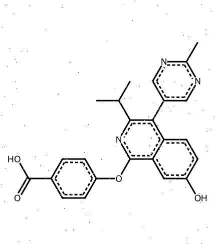 Cc1ncc(-c2c(C(C)C)nc(Oc3ccc(C(=O)O)cc3)c3cc(O)ccc23)cn1